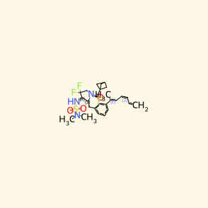 C=C/C=C\C=C(/C)c1cccc(C[C@H]2[C@@H](NS(=O)(=O)N(C)C)C(F)(F)CN2C(=O)C23CC(C2)C3)c1F